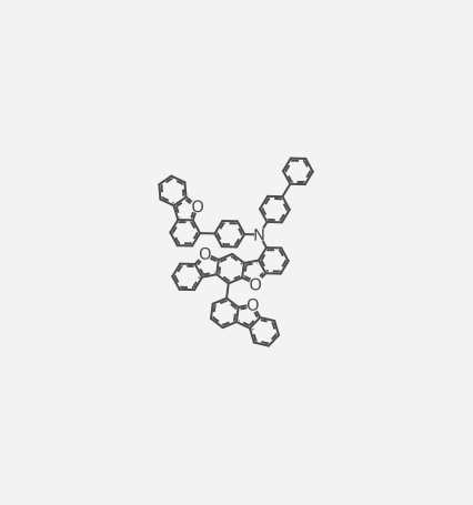 c1ccc(-c2ccc(N(c3ccc(-c4cccc5c4oc4ccccc45)cc3)c3cccc4oc5c(-c6cccc7c6oc6ccccc67)c6c(cc5c34)oc3ccccc36)cc2)cc1